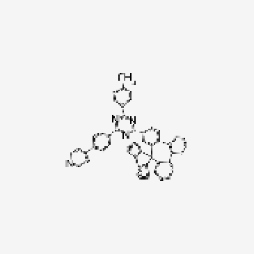 Cc1ccc(-c2nc(-c3ccc(-c4ccncc4)cc3)nc(-c3ccc4c(c3)C3(c5ccccc5-c5ccccc5-4)c4ccccc4-c4ccccc43)n2)cc1